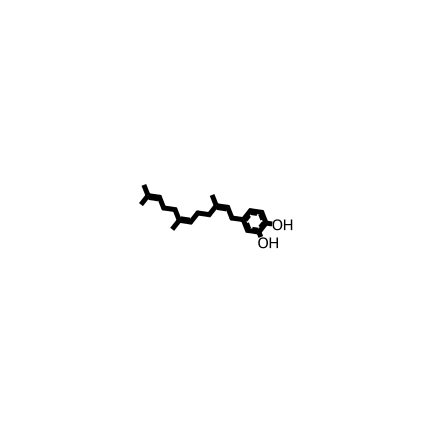 CC(C)=CCCC(C)=CCCC(C)=CCc1ccc(O)c(O)c1